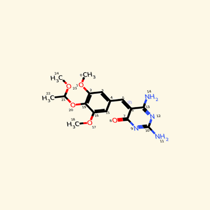 COc1cc(/C=C2\C(=O)N=C(N)N=C2N)cc(OC)c1OC(C)OC